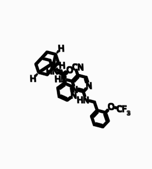 N#Cc1cnc(NCc2ccccc2OC(F)(F)F)nc1NC[C@]12CC3C[C@H](C1)[C@H](NC(=O)c1cccnc1)[C@@H](C3)C2